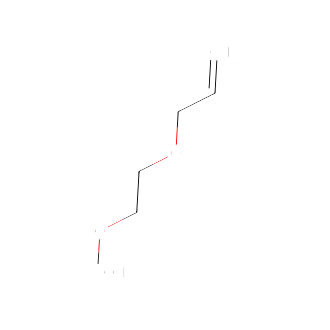 C=CCOCCOC(=O)O